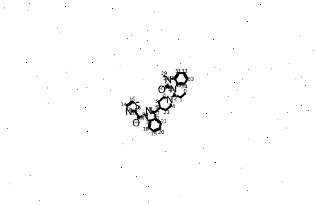 CCC(N1CCC(c2nn(C(=O)c3nccs3)c3ccccc23)CC1)n1c(=O)n(C)c2ccccc21